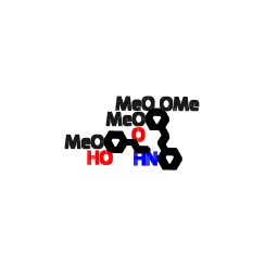 COc1ccc(C(=O)C=CNc2ccccc2C=Cc2cc(OC)c(OC)c(OC)c2)cc1O